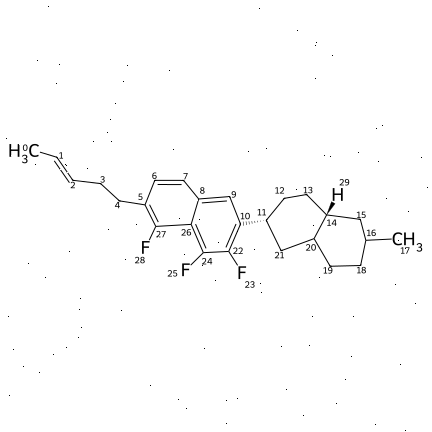 C/C=C/CCc1ccc2cc([C@@H]3CC[C@@H]4CC(C)CCC4C3)c(F)c(F)c2c1F